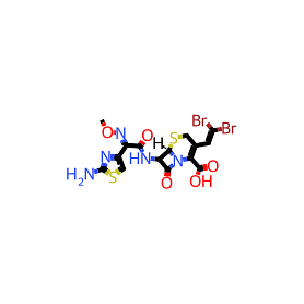 CO/N=C(/C(=O)NC1C(=O)N2C(C(=O)O)=C(C=C(Br)Br)CS[C@H]12)c1csc(N)n1